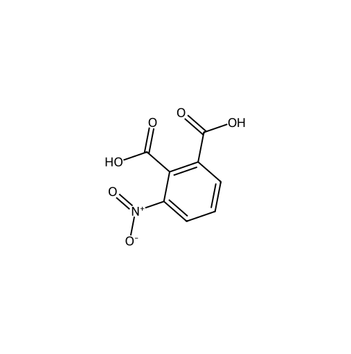 O=C(O)c1cccc([N+](=O)[O-])c1C(=O)O